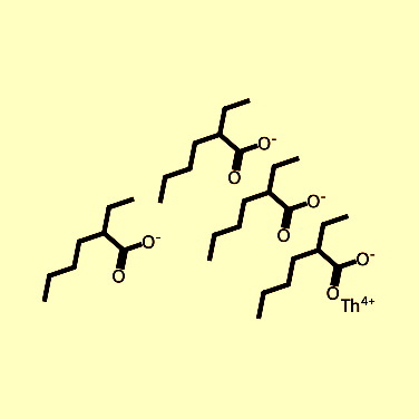 CCCCC(CC)C(=O)[O-].CCCCC(CC)C(=O)[O-].CCCCC(CC)C(=O)[O-].CCCCC(CC)C(=O)[O-].[Th+4]